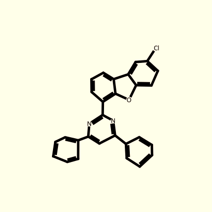 Clc1ccc2oc3c(-c4nc(-c5ccccc5)cc(-c5ccccc5)n4)cccc3c2c1